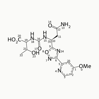 COc1ccnc(-c2noc([C@H](CC(N)=O)NC(=O)NC(C(=O)O)C(C)O)n2)c1